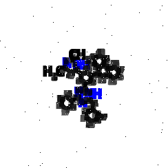 CC1=NC(C)NC(c2cc(C3=NC(C4=CC=CCC4)=NC(CC4=CC=CC5CC45)N3)cc(-c3cc4ccccc4c4ccccc34)c2)=C1